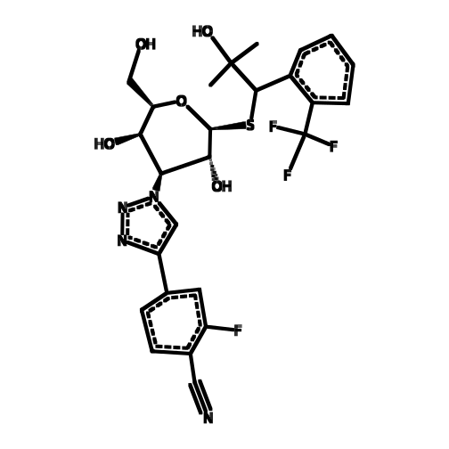 CC(C)(O)C(S[C@@H]1O[C@H](CO)[C@H](O)[C@H](n2cc(-c3ccc(C#N)c(F)c3)nn2)[C@H]1O)c1ccccc1C(F)(F)F